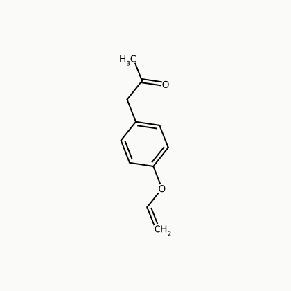 C=COc1ccc(CC(C)=O)cc1